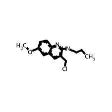 CCCNc1nc2ccc(OC)cc2cc1CCl